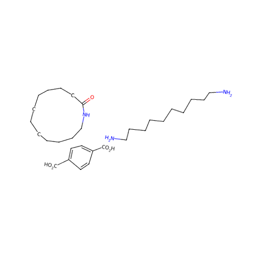 NCCCCCCCCCCN.O=C(O)c1ccc(C(=O)O)cc1.O=C1CCCCCCCCCCCN1